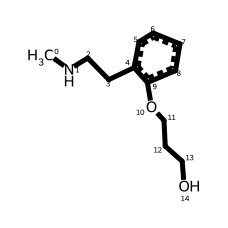 CNCCc1ccccc1OCCCO